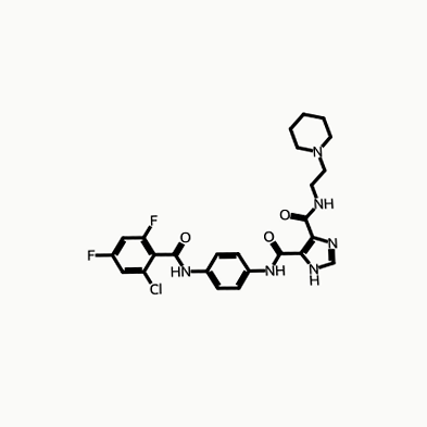 O=C(NCCN1CCCCC1)c1nc[nH]c1C(=O)Nc1ccc(NC(=O)c2c(F)cc(F)cc2Cl)cc1